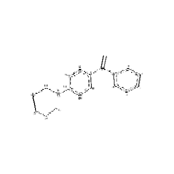 C=C(c1ccccc1)c1ccc(N2CCCCC2)cc1